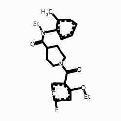 CCOc1cc(F)ccc1C(=O)N1CCC(C(=O)N(CC)c2ccccc2C)CC1